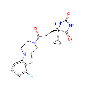 O=C1NC(=O)[C@](CCC(=O)N2CCN3c4cccc(F)c4CC3C2)(C2CC2)N1